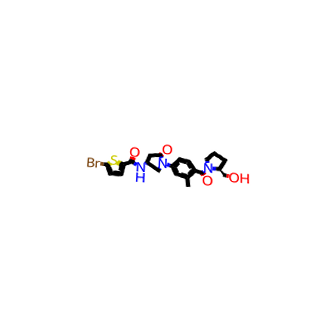 Cc1cc(N2CC(NC(=O)c3ccc(Br)s3)CC2=O)ccc1C(=O)N1CCC[C@H]1CO